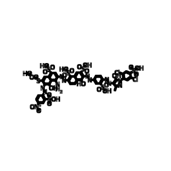 Cc1nn(-c2cc(Cl)c(S(=O)(=O)O)cc2Cl)c(O)c1N=Nc1ccc(N=Nc2c(S(=O)(=O)O)cc3c(S(=O)(=O)O)c(N=Nc4cc(S(=O)(=O)O)c5cc(SOOO)c(N=Nc6ccc([N+](=O)[O-])cc6S(=O)(=O)O)c(O)c5c4N)ccc3c2O)cc1S(=O)(=O)O